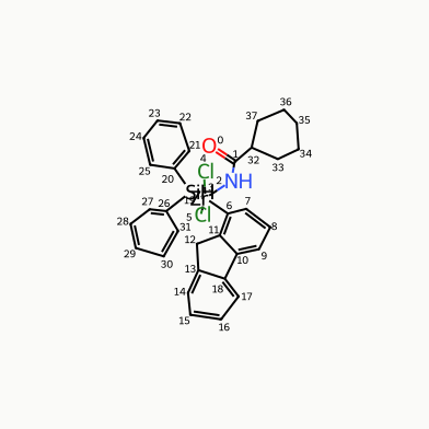 O=C([NH][Zr]([Cl])([Cl])([c]1cccc2c1Cc1ccccc1-2)[SiH](c1ccccc1)c1ccccc1)C1CCCCC1